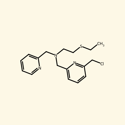 CCSCCN(Cc1ccccn1)Cc1cccc(CCl)n1